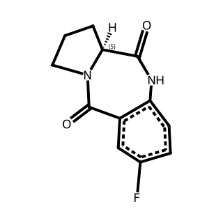 O=C1Nc2ccc(F)cc2C(=O)N2CCC[C@@H]12